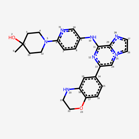 CC1(O)CCN(c2ccc(Nc3nc(-c4ccc5c(c4)NCCO5)cn4ccnc34)cn2)CC1